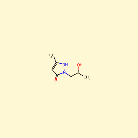 Cc1cc(=O)n(CC(C)O)[nH]1